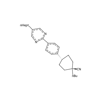 CCCCCCCc1cnc(-c2ccc([C@H]3CC[C@@](C#N)(CCCC)CC3)cc2)nc1